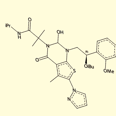 COc1ccccc1[C@H](CN1c2sc(-n3cccn3)c(C)c2C(=O)N(C(C)(C)C(=O)NC(C)C)C1O)OCC(C)C